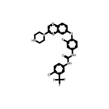 O=C(Nc1ccc(Oc2ccc3ncc(N4CCNCC4)nc3c2)c(F)c1)Nc1ccc(Cl)c(C(F)(F)F)c1